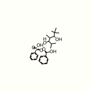 CC(C)C(O)C(C)C(O)C(C)(C)C.O=C(O)c1ccccc1.O=S(=O)(O)c1ccccc1